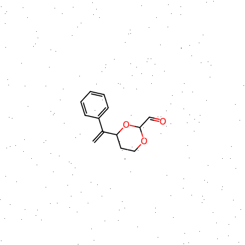 C=C(c1ccccc1)C1CCOC(C=O)O1